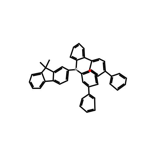 CC1(C)c2ccccc2-c2ccc(N(c3cccc(-c4ccccc4)c3)c3ccccc3-c3ccc(-c4ccccc4)cc3)cc21